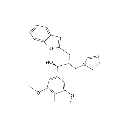 COc1cc([C@@H](O)[C@H](Cc2cc3ccccc3o2)Cn2c[c]cc2)cc(OC)c1C